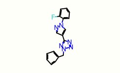 Fc1ccccc1-n1cc(-c2nnn(Cc3ccccc3)n2)cn1